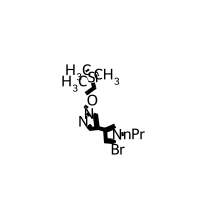 CCCn1cc(-c2cnn(COCC[Si](C)(C)C)c2)cc1Br